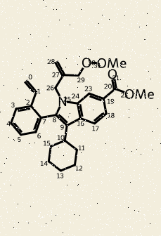 C=Cc1ccccc1-c1c(C2CCCCC2)c2ccc(C(=O)OC)cc2n1CC(=C)COOC